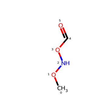 CONOC=O